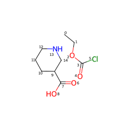 CCOC(=O)Cl.O=C(O)C1CCCNC1